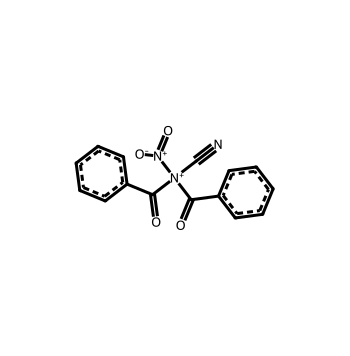 N#C[N+](C(=O)c1ccccc1)(C(=O)c1ccccc1)[N+](=O)[O-]